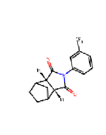 O=C1[C@@H]2C3CCC(C3)[C@@H]2C(=O)N1c1cccc(C(F)(F)F)c1